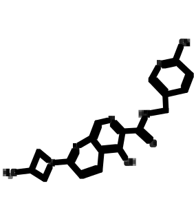 CC1CN(c2ccc3c(O)c(C(=O)NCc4ccc(C#N)nc4)ncc3n2)C1